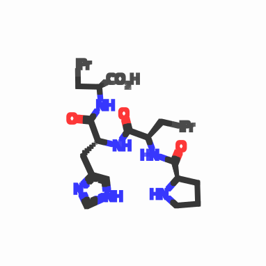 CC(C)C[C@H](NC(=O)[C@@H](Cc1c[nH]cn1)NC(=O)[C@@H](CC(C)C)NC(=O)[C@H]1CCCN1)C(=O)O